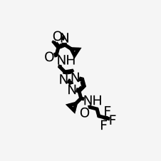 O=C(CCC(F)(F)F)NC(c1ccn2cc(CNC(=O)c3conc3C3CC3)nc2n1)C1CC1